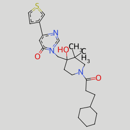 CC1(C)CN(C(=O)CCC2CCCCC2)CCC1(O)Cn1cnc(-c2ccsc2)cc1=O